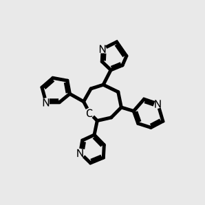 c1cncc(C2CC(c3cccnc3)CC(c3cccnc3)CC(c3cccnc3)C2)c1